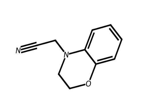 N#CCN1CCOc2ccccc21